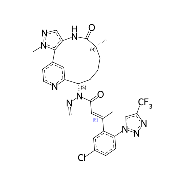 C=NN(C(=O)/C=C(\C)c1cc(Cl)ccc1-n1cc(C(F)(F)F)nn1)[C@H]1CCC[C@@H](C)C(=O)Nc2cnn(C)c2-c2ccnc1c2